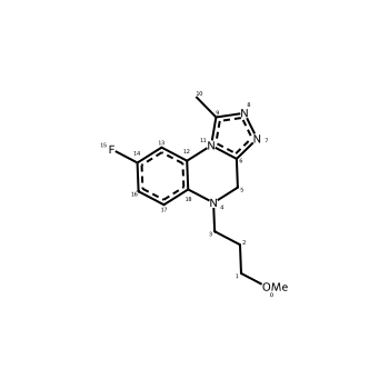 COCCCN1Cc2nnc(C)n2-c2cc(F)ccc21